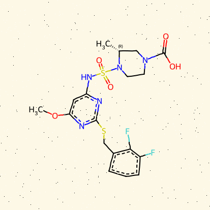 COc1cc(NS(=O)(=O)N2CCN(C(=O)O)C[C@H]2C)nc(SCc2cccc(F)c2F)n1